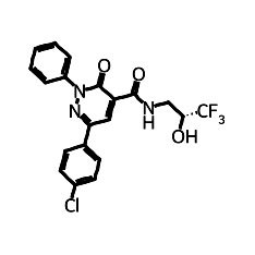 O=C(NC[C@@H](O)C(F)(F)F)c1cc(-c2ccc(Cl)cc2)nn(-c2ccccc2)c1=O